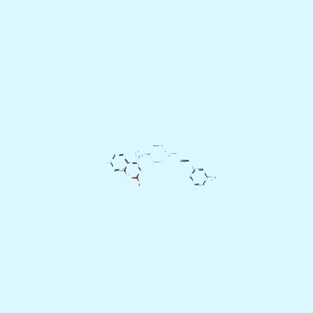 O=c1cc(NC2CCN(CC=Cc3cccc(F)c3)CC2)c2ccccc2o1